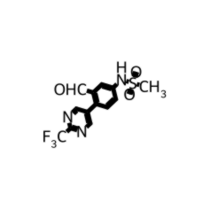 CS(=O)(=O)Nc1ccc(-c2cnc(C(F)(F)F)nc2)c(C=O)c1